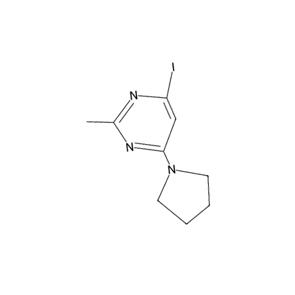 Cc1nc(I)cc(N2CCCC2)n1